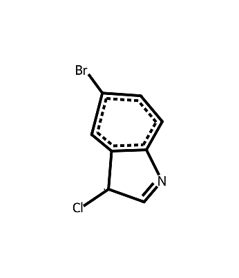 Cl[C]1C=Nc2ccc(Br)cc21